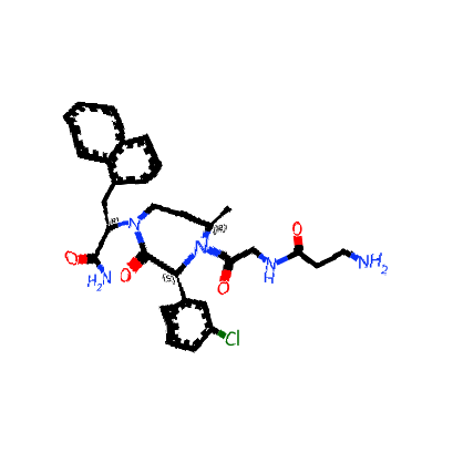 C[C@@H]1CCN([C@H](Cc2cccc3ccccc23)C(N)=O)C(=O)[C@H](c2cccc(Cl)c2)N1C(=O)CNC(=O)CCN